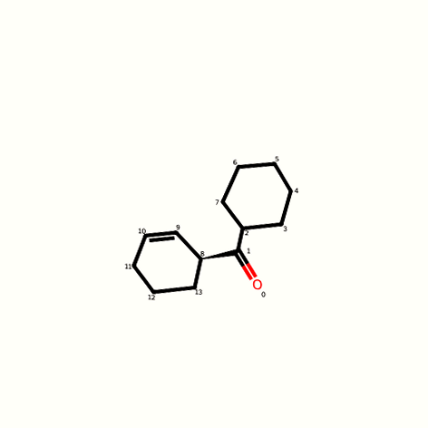 O=C(C1CCCCC1)[C@@H]1C=CCCC1